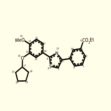 CCOC(=O)c1cccc(-c2csc(-c3ccc(OC)c(OC4CCCC4)c3)n2)c1